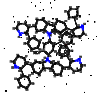 N#Cc1cc(-n2c3cc(-c4cccnc4-c4ccccc4)ccc3c3ccc(-c4cccnc4-c4ccccc4)cc32)c(-c2c(C(F)(F)F)cccc2C(F)(F)F)cc1-n1c2cc(-c3cccnc3-c3ccccc3)ccc2c2ccc(-c3cccnc3-c3ccccc3)cc21